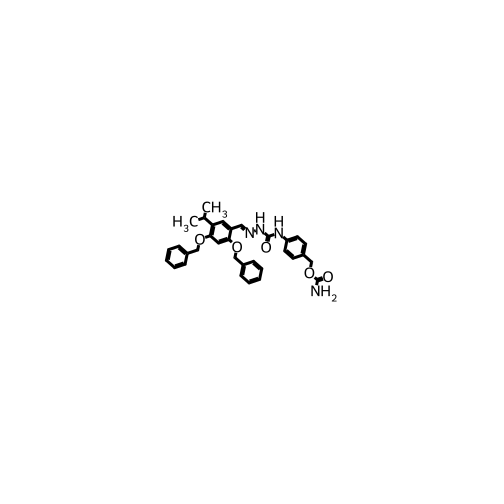 CC(C)c1cc(C=NNC(=O)Nc2ccc(COC(N)=O)cc2)c(OCc2ccccc2)cc1OCc1ccccc1